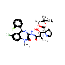 C[C@@H](C(=O)NC1N=C(c2ccccc2F)c2cc(Cl)ccc2N(C)C1=O)[C@@H](O)[C@@]1(C(=O)OC(C)(C)C)CCCN1